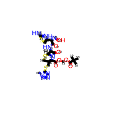 Cn1nnnc1SCC1=C(C(=O)OCOC(=O)C(C)(C)C)N2C(=O)C(NC(=O)/C(=N\O)c3csc(=N)[nH]3)[C@H]2SC1